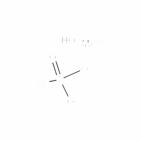 O=P([O-])([O-])[O-].[Mo+4].[OH-]